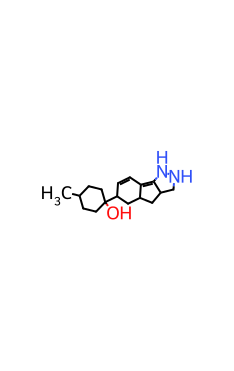 CC1CCC(O)(C2C=CC3=C4NNCC4CC3C2)CC1